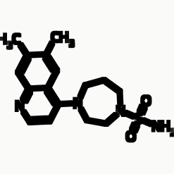 Cc1cc2nccc(N3CCCN(S(N)(=O)=O)CC3)c2cc1C